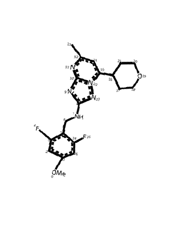 COc1cc(F)c(CNc2nc3nc(C)cc(C4CCOCC4)n3n2)c(F)c1